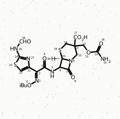 CC(C)CON=C(C(=O)NC1C(=O)N2CC(COC(N)=O)(C(=O)O)CS[C@H]12)c1csc(NC=O)n1